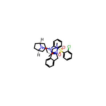 Cc1nc2ccccc2n1C1C[C@H]2CC[C@@H](C1)N2CC[C@]1(CN(C)S(=O)(=O)c2ccccc2Cl)CCc2ccccc21